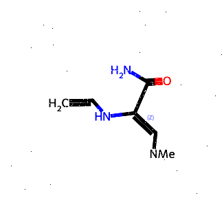 C=CN/C(=C\NC)C(N)=O